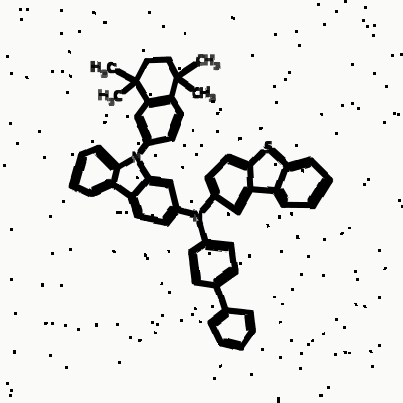 CC1(C)CCC(C)(C)c2cc(-n3c4ccccc4c4ccc(N(c5ccc(-c6ccccc6)cc5)c5ccc6sc7ccccc7c6c5)cc43)ccc21